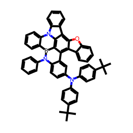 CC(C)(C)c1ccc(N(c2ccc(C(C)(C)C)cc2)c2ccc3c(c2)-c2c4c5c(c6ccccc6n5-c5ccccc5B4N3c3ccccc3)c3oc4ccccc4c23)cc1